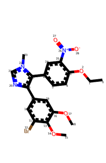 CCOc1ccc(-c2c(-c3cc(Br)c(OC)c(OC)c3)ncn2C)cc1[N+](=O)[O-]